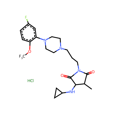 CC1C(=O)N(CCCN2CCN(c3cc(F)ccc3OC(F)(F)F)CC2)C(=O)C1NC1CC1.Cl